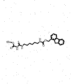 CC(C)(C)OC(=O)NC(=S)NCCCCCCNC(=O)OCc1cccc2c1Cc1ccccc1-2